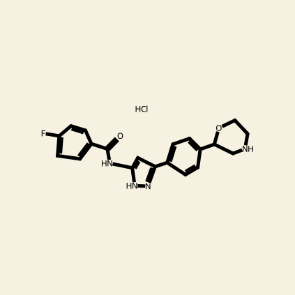 Cl.O=C(Nc1cc(-c2ccc(C3CNCCO3)cc2)n[nH]1)c1ccc(F)cc1